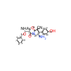 CC(=O)NC(COCc1ccccc1)C(=O)N(CCN)C(=O)C(C#N)=Cc1ccc(O)cc1